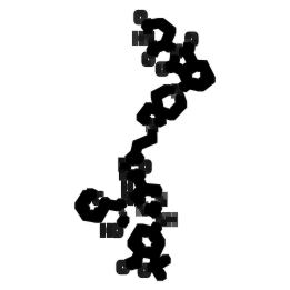 CC1(C)OC(=O)c2ccc(Nc3ncc(-c4nnc(CCN5CCC6(CCN(c7cccc8c7C(=O)N(C7CCC(=O)NC7=O)C8=O)CC6)C5)o4)c(N[C@H](CO)c4ccccc4)n3)cc21